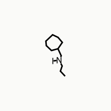 CCCN(I)CC1CCCCCC1